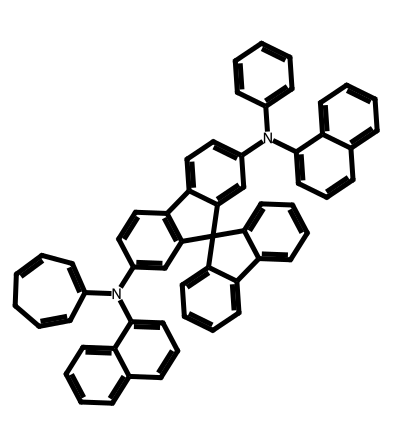 C1=CCC=CC(N(c2ccc3c(c2)C2(c4ccccc4-c4ccccc42)c2cc(N(c4ccccc4)c4cccc5ccccc45)ccc2-3)c2cccc3ccccc23)=C1